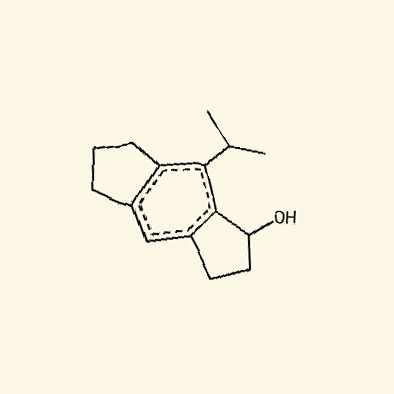 CC(C)c1c2c(cc3c1C(O)CC3)CCC2